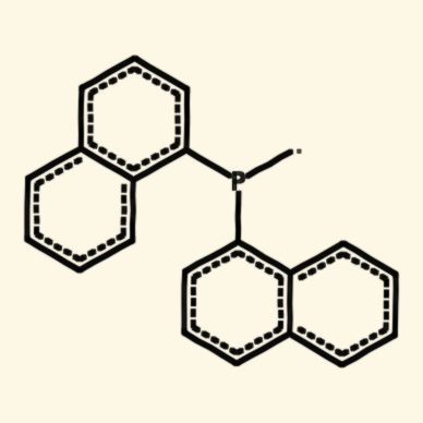 [CH2]P(c1cccc2ccccc12)c1cccc2ccccc12